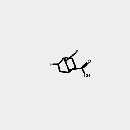 O=C(O)C1C2CCC(C(F)C2)C1F